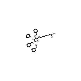 O=C(O)CCCCCCO[C@H]1O[C@H](COCc2ccccc2)[C@@H](OCc2ccccc2)[C@H](OCc2ccccc2)[C@@H]1OCc1ccccc1